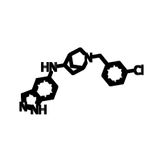 Clc1cccc(CN2CC3CC2CC3Nc2ccc3[nH]ncc3c2)c1